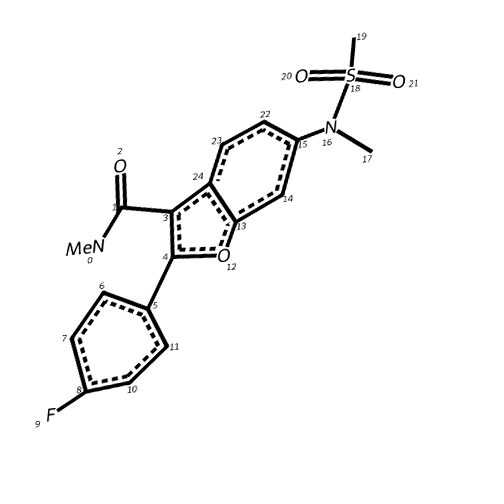 CNC(=O)c1c(-c2ccc(F)cc2)oc2cc(N(C)S(C)(=O)=O)ccc12